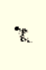 CC(C)(C)OC(=O)N1CCC[C@@H](NC(=S)Nc2nc(Br)cnc2OCc2ccccc2)C1